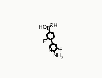 Nc1ncc(-c2ccc(B(O)O)cc2F)cc1F